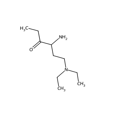 CCC(=O)C(N)CCN(CC)CC